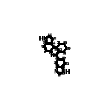 c1nc2cc(-c3nc4ccc5[nH]ccc5c4c4c3CCCC4)ccc2[nH]1